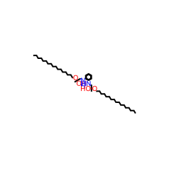 CCCCCCCCCCCCCCCCCOC(C)(O)CNc1ccccc1NCC(C)(O)OCCCCCCCCCCCCCCCCC